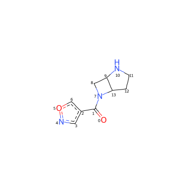 O=C(c1cnoc1)N1CC2NCCC21